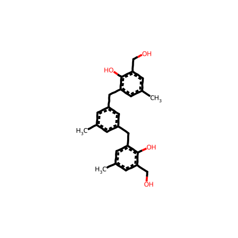 Cc1cc(Cc2cc(C)cc(CO)c2O)cc(Cc2cc(C)cc(CO)c2O)c1